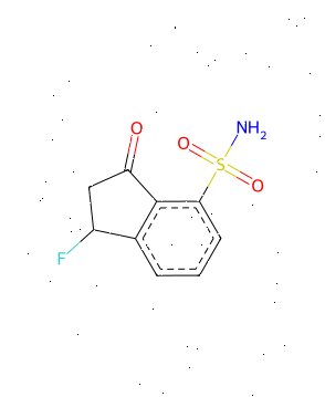 NS(=O)(=O)c1cccc2c1C(=O)CC2F